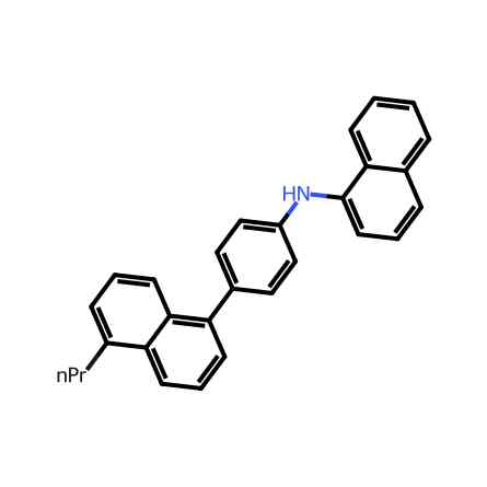 CCCc1cccc2c(-c3ccc(Nc4cccc5ccccc45)cc3)cccc12